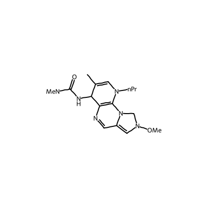 CCCN1C=C(C)C(NC(=O)NC)C2=C1N1CN(OC)C=C1C=N2